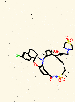 C[C@@H]1[C@@H](C)C/C=C/[C@](O)(C#CCN2CCS(=O)(=O)CC2)[C@@H]2CC[C@H]2CN2C[C@@]3(CCCc4cc(Cl)ccc43)COc3ccc(cc32)C(=O)NS1(=O)=O